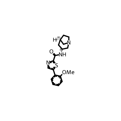 COc1ccccc1-c1cnc(C(=O)N[C@@H]2C[C@H]3CCN(C3)C2)s1